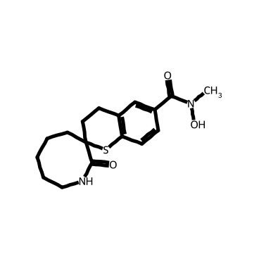 CN(O)C(=O)c1ccc2c(c1)CCC1(CCCCCNC1=O)S2